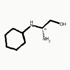 N[C@@H](CO)NC1CCCCC1